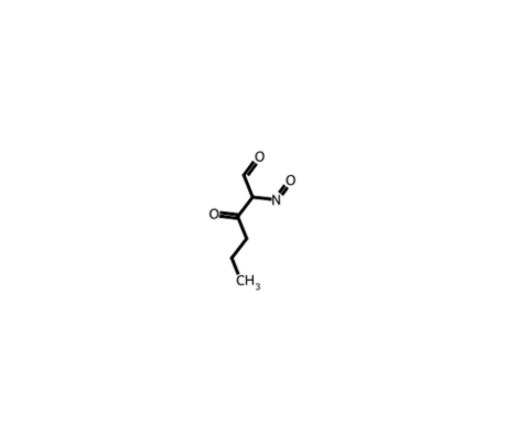 CCCC(=O)C(C=O)N=O